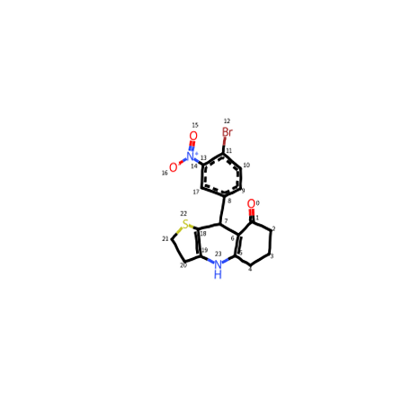 O=C1CCCC2=C1C(c1ccc(Br)c([N+](=O)[O-])c1)C1=C(CCS1)N2